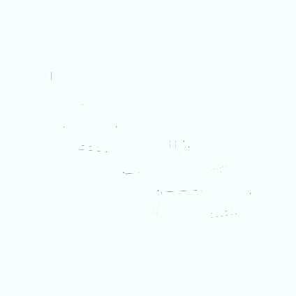 Nc1ccccc1C(=O)OC(=O)c1ccc(O)cc1